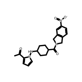 CC(=O)c1cccn1NC1CCC(C(=O)N2Cc3ccc([N+](=O)[O-])cc3C2)CC1